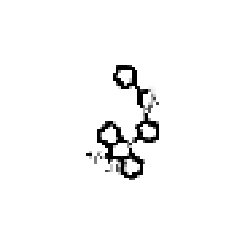 CC1(C)c2ccccc2N(c2cccc(-n3cc(-c4ccccc4)nn3)c2)c2ccccc21